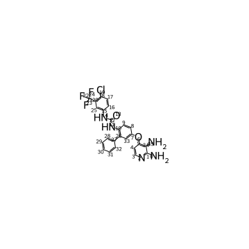 Nc1nccc(Oc2ccc(NC(=O)Nc3ccc(Cl)c(C(F)(F)F)c3)c(-c3ccccc3)c2)c1N